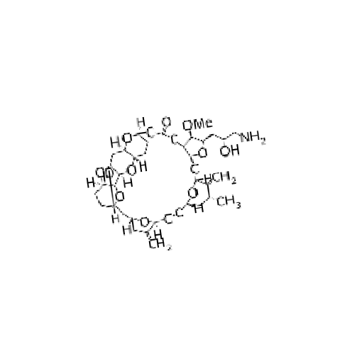 C=C1C[C@@H]2CCC3C[C@H]4OC5C6O[C@@H]3O[C@@H]4[C@@H]5O[C@H]3CC[C@H](CC(=O)CC4C(C[C@H]5O[C@@H](CC[C@@H]1O2)C[C@@H](C)C5=C)O[C@H](CC(O)CN)[C@@H]4OC)O[C@H]63